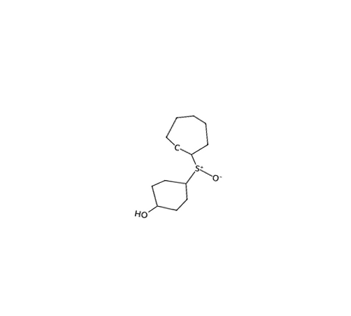 [O-][S+](C1CCCCCC1)C1CCC(O)CC1